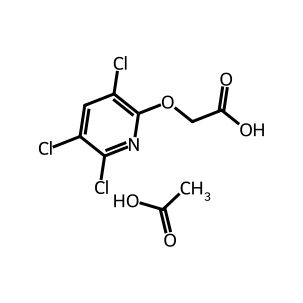 CC(=O)O.O=C(O)COc1nc(Cl)c(Cl)cc1Cl